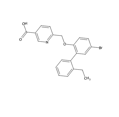 CCc1ccccc1-c1cc(Br)ccc1OCc1ccc(C(=O)O)cn1